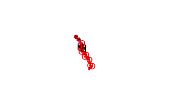 CCC(C)C(=O)OCCCCOc1ccc(C(=O)Oc2ccc(C(=O)O[C@H]3CO[C@H]4[C@@H]3OC[C@H]4OC(=O)/C=C/c3ccc(-c4ccccc4)cc3)cc2)cc1